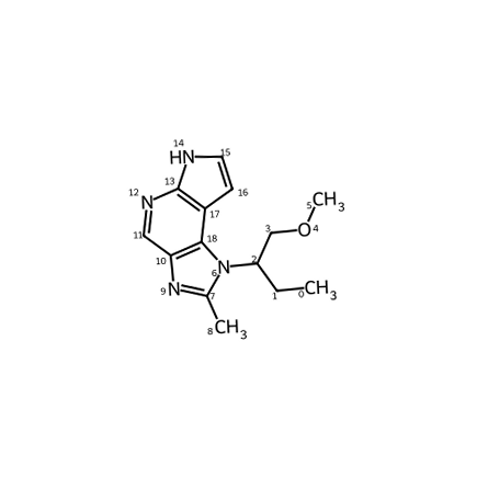 CCC(COC)n1c(C)nc2cnc3[nH]ccc3c21